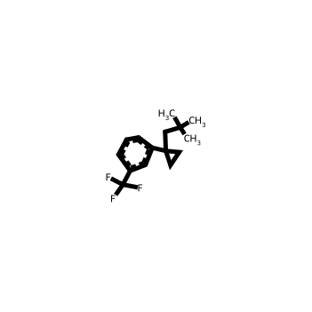 CC(C)(C)CC1(c2cccc(C(F)(F)F)c2)CC1